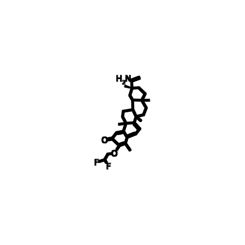 C=C(N)[C@]1(C)CCC2(C)CCC3(C)C4=CC=C5C(=CC(=O)C(OCC(F)F)=C5C)C4(C)CCC3C2C1